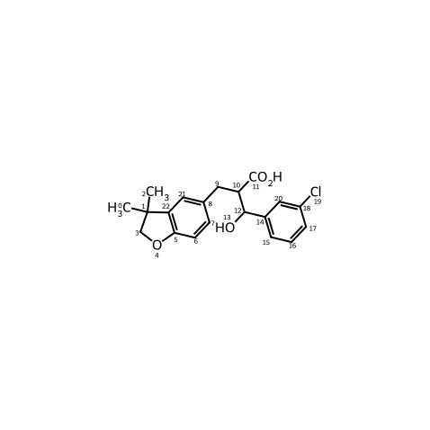 CC1(C)COc2ccc(CC(C(=O)O)C(O)c3cccc(Cl)c3)cc21